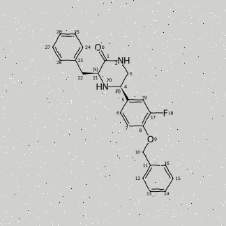 O=C1NC[C@@H](c2ccc(OCc3ccccc3)c(F)c2)N[C@H]1Cc1ccccc1